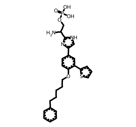 NC(COP(=O)(O)O)c1nc(-c2ccc(OCCCCCc3ccccc3)c(-c3cccs3)c2)c[nH]1